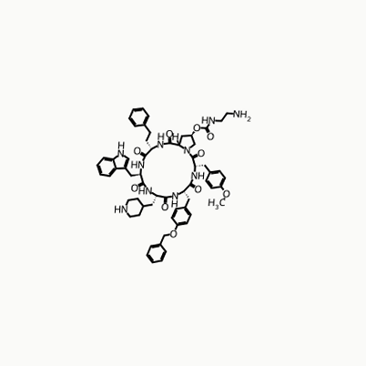 COc1ccc(C[C@@H]2NC(=O)[C@H](Cc3ccc(OCc4ccccc4)cc3)NC(=O)[C@H](CC3CCNCC3)NC(=O)[C@@H](Cc3c[nH]c4ccccc34)NC(=O)[C@H](CCc3ccccc3)NC(=O)[C@@H]3C[C@@H](OC(=O)NCCN)CN3C2=O)cc1